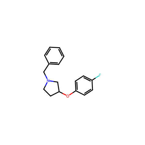 Fc1ccc(OC2CCN(Cc3ccccc3)C2)cc1